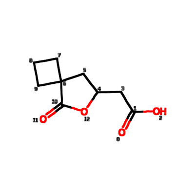 O=C(O)CC1CC2(CCC2)C(=O)O1